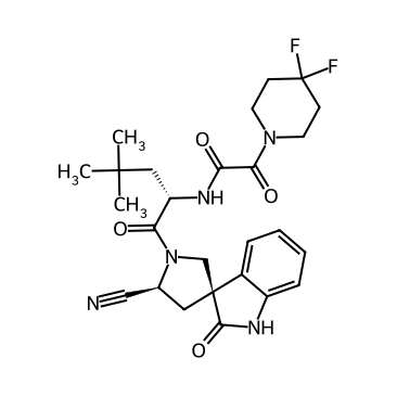 CC(C)(C)C[C@H](NC(=O)C(=O)N1CCC(F)(F)CC1)C(=O)N1C[C@]2(C[C@H]1C#N)C(=O)Nc1ccccc12